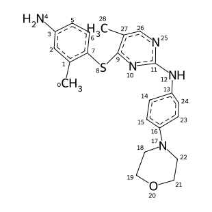 Cc1cc(N)ccc1Sc1nc(Nc2ccc(N3CCOCC3)cc2)ncc1C